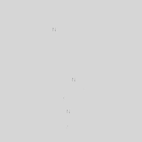 CC(=O)N1CC2CC1CN2c1ccc2[c]ccnc2c1